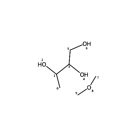 CC(O)C(O)CO.COC